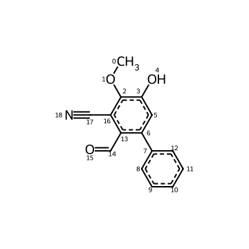 COc1c(O)cc(-c2ccccc2)c(C=O)c1C#N